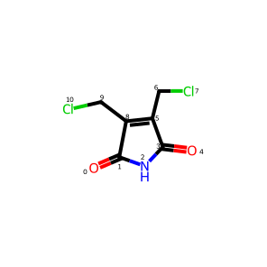 O=C1NC(=O)C(CCl)=C1CCl